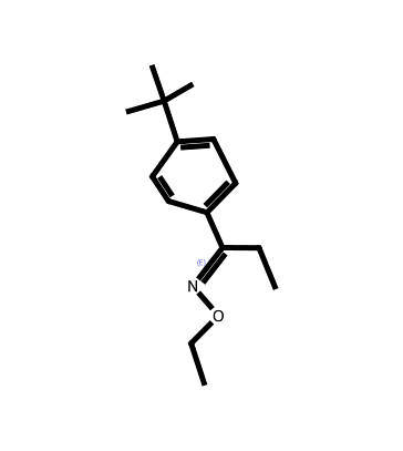 CCO/N=C(\CC)c1ccc(C(C)(C)C)cc1